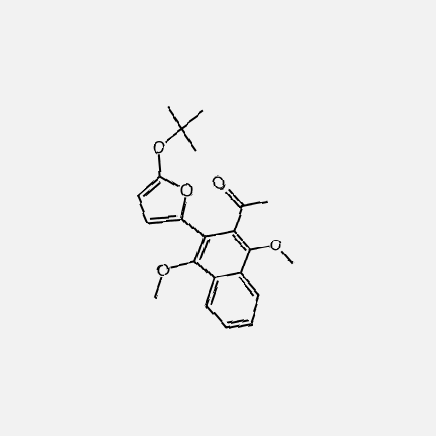 COc1c(C(C)=O)c(-c2ccc(OC(C)(C)C)o2)c(OC)c2ccccc12